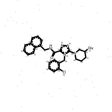 O=C(NCc1cccc2ccccc12)c1nnc(N2CCCC(O)C2)n1Cc1ccccc1Cl